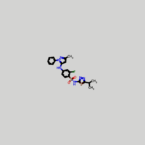 Cc1cc(Nc2ccc(S(=O)(=O)Nc3nnc(C(C)C)s3)c(F)c2)n(-c2ccccc2)n1